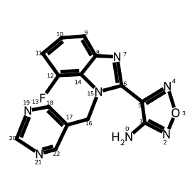 Nc1nonc1-c1nc2cccc(F)c2n1Cc1cncnc1